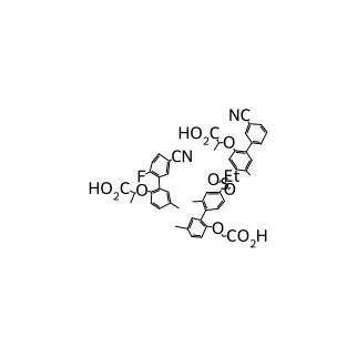 CCS(=O)(=O)c1ccc(-c2cc(C)ccc2OCC(=O)O)c(C)c1.Cc1ccc(OC(C)C(=O)O)c(-c2cc(C#N)ccc2F)c1.Cc1ccc(O[C@@H](C)C(=O)O)c(-c2cccc(C#N)c2)c1